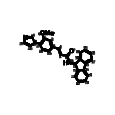 COc1cc(C=CC(=O)NC2c3ccccc3-c3ccccc32)ccc1-n1ccnc1